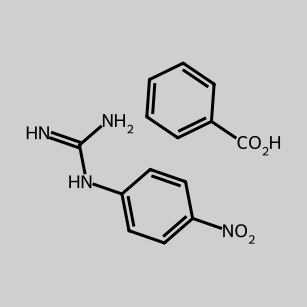 N=C(N)Nc1ccc([N+](=O)[O-])cc1.O=C(O)c1ccccc1